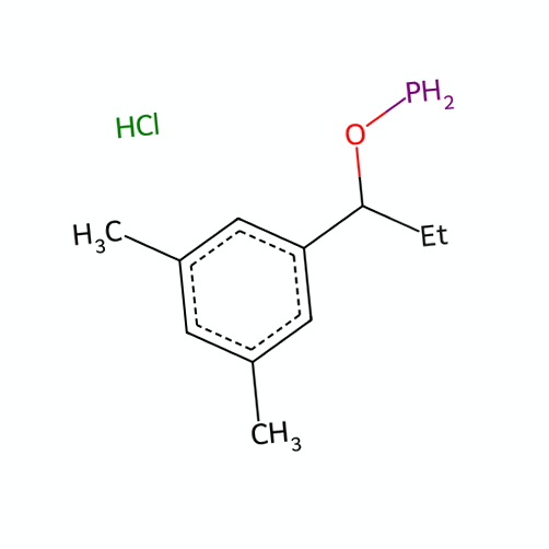 CCC(OP)c1cc(C)cc(C)c1.Cl